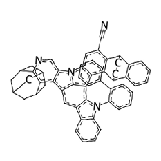 N#Cc1cc2c(c3c1C1CCC3c3ccccc31)c1c3c(cc4c5c6c(ncc5n2c41)C1CC2CC(C1)CC6C2)c1ccccc1n3-c1ccccc1-c1ccccc1